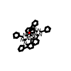 c1ccc(-c2nc(-c3ccccc3)nc(-n3c4ccccc4c4cccc(-c5nnc(-c6cccc7c8ccccc8n(-c8nc(-c9ccccc9)nc(-c9ccccc9)n8)c67)o5)c43)n2)cc1